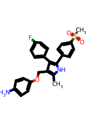 Cc1[nH]c(-c2ccc(S(C)(=O)=O)cc2)c(-c2ccc(F)cc2)c1COc1ccc(N)cc1